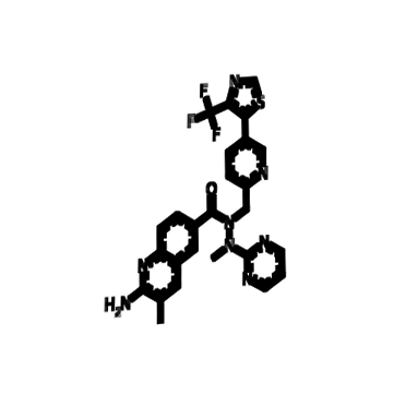 Cc1cc2cc(C(=O)N(Cc3ccc(-c4scnc4C(F)(F)F)cn3)N(C)c3ncccn3)ccc2nc1N